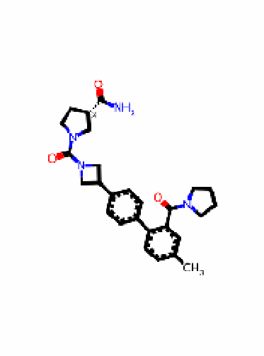 Cc1ccc(-c2ccc(C3CN(C(=O)N4CC[C@H](C(N)=O)C4)C3)cc2)c(C(=O)N2CCCC2)c1